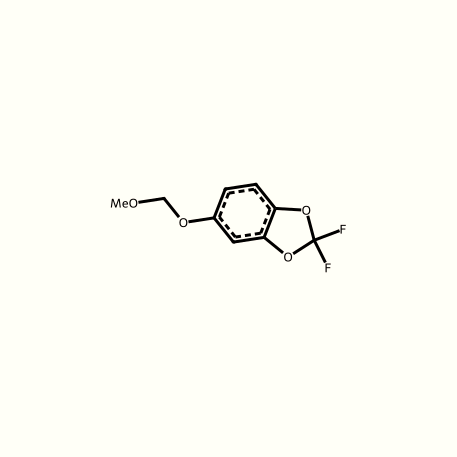 COCOc1ccc2c(c1)OC(F)(F)O2